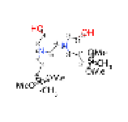 CO[Si](C)(CCCN(CCO)CCN(CCO)CCC[Si](C)(OC)OC)OC